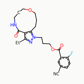 CCc1nn(CCCOC(=O)c2cc(C#N)ccc2F)c2c1C(=O)NCCCOCCC2